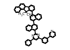 CC1(C)c2c(cccc2-c2ccc(-c3ccc(-c4nc(-c5ccccc5)cc(-c5cccc(-c6cccnc6)c5)n4)c4ccccc34)c3ccccc23)-c2ccc3ccccc3c21